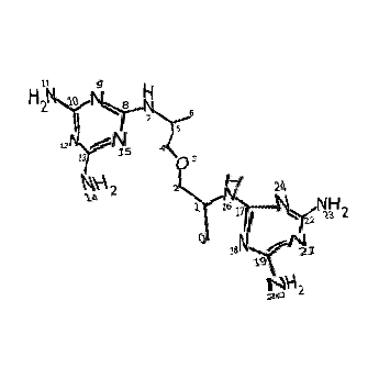 CC(COCC(C)Nc1nc(N)nc(N)n1)Nc1nc(N)nc(N)n1